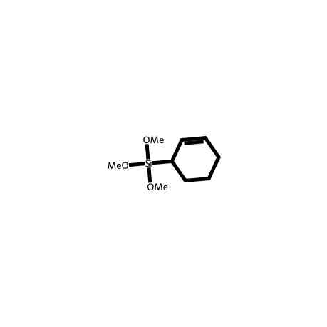 CO[Si](OC)(OC)C1C=CCCC1